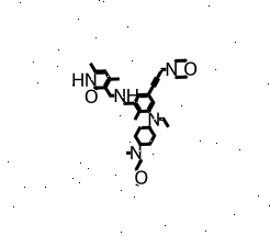 CCN(c1cc(C#CCN2CCOCC2)cc(CNCc2c(C)cc(C)[nH]c2=O)c1C)C1CCC(N(C)CCOC)CC1